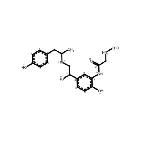 CC(Cc1ccc(O)cc1)NCC(O)c1ccc(O)c(NC(=O)CNC=O)c1